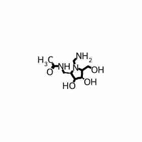 CC(=O)NC[C@@H]1C(O)[C@H](O)C(CO)N1CN